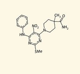 CSc1nc(Nc2ccccc2)c([N+](=O)[O-])c(N2CCC(C)(C(N)=O)CC2)n1